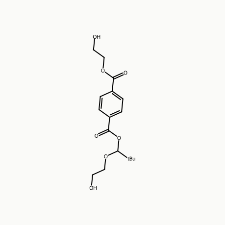 CC(C)(C)C(OCCO)OC(=O)c1ccc(C(=O)OCCO)cc1